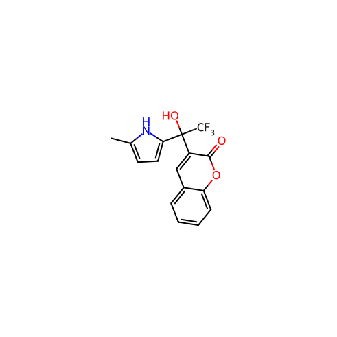 Cc1ccc(C(O)(c2cc3ccccc3oc2=O)C(F)(F)F)[nH]1